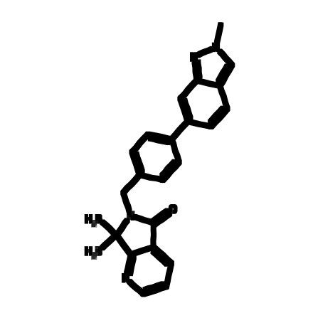 BC1(B)c2ncccc2C(=O)N1Cc1ccc(-c2ccc3cn(C)nc3c2)cc1